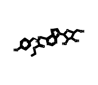 CCOC(=O)[C@H](Cc1ccc(O)cc1)Nc1ncnc2c1ncn2C1OC(CO)C(O)C1O